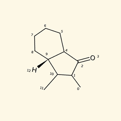 CC1C(=O)C2CCCC[C@H]2C1C